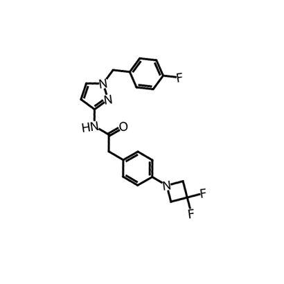 O=C(Cc1ccc(N2CC(F)(F)C2)cc1)Nc1ccn(Cc2ccc(F)cc2)n1